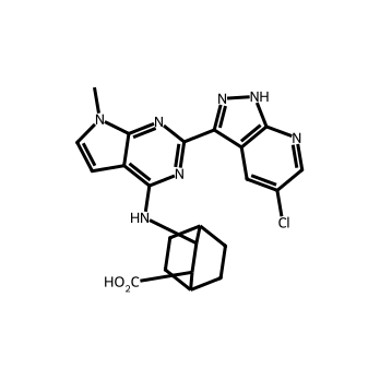 Cn1ccc2c(NC3C4CCC(CC4)C3C(=O)O)nc(-c3n[nH]c4ncc(Cl)cc34)nc21